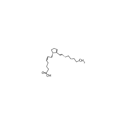 CCCCCC/C=C/C1=CCC[C@@H]1C/C=C\CCCC(=O)O